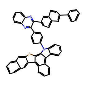 c1ccc(-c2ccc3cc(-c4nc5ccccc5nc4-c4ccc(-n5c6ccccc6c6c7ccccc7c7c8cc9ccccc9cc8sc7c65)cc4)ccc3c2)cc1